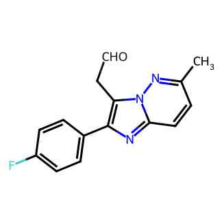 Cc1ccc2nc(-c3ccc(F)cc3)c(CC=O)n2n1